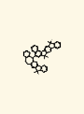 CC1(C)c2ccccc2-c2cc3c(cc21)CCc1ccccc1N3c1cc2c(c3ccccc13)-c1cc3c(cc1C2(C)C)-c1ccccc1C3(C)C